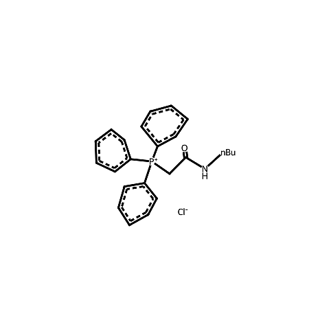 CCCCNC(=O)C[P+](c1ccccc1)(c1ccccc1)c1ccccc1.[Cl-]